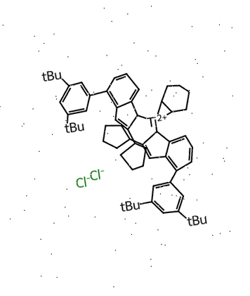 CC(C)(C)c1cc(-c2cccc3c2C=C(C2CCCC2)[CH]3[Ti+2]2([CH]3C(C4CCCC4)=Cc4c(-c5cc(C(C)(C)C)cc(C(C)(C)C)c5)cccc43)[CH]3CCCC[CH]32)cc(C(C)(C)C)c1.[Cl-].[Cl-]